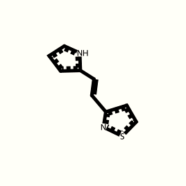 C(=C\c1ccc[nH]1)/c1ccsn1